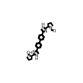 CN1CCCC1c1nc(-c2ccc(-c3ccc(-c4c[nH]c(C5CCCN5C=O)n4)cc3)cc2)c[nH]1